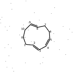 [CH]1C/C=C/C=C\CC/C=C/C1